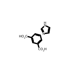 O=C(O)c1cccc(C(=O)O)c1.c1c[nH]cn1